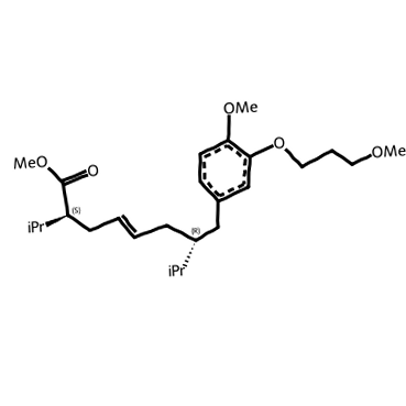 COCCCOc1cc(C[C@@H](CC=CC[C@H](C(=O)OC)C(C)C)C(C)C)ccc1OC